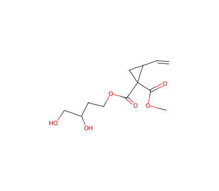 C=CC1CC1(C(=O)OC)C(=O)OCCC(O)CO